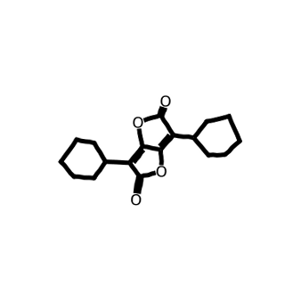 O=C1OC2=C(C3CCCCC3)C(=O)OC2=C1C1CCCCC1